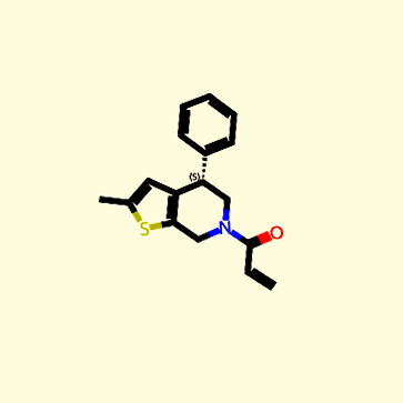 C=CC(=O)N1Cc2sc(C)cc2[C@H](c2ccccc2)C1